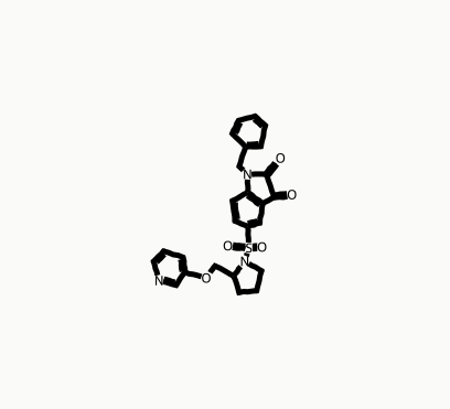 O=C1C(=O)N(Cc2ccccc2)c2ccc(S(=O)(=O)N3CCCC3COc3cccnc3)cc21